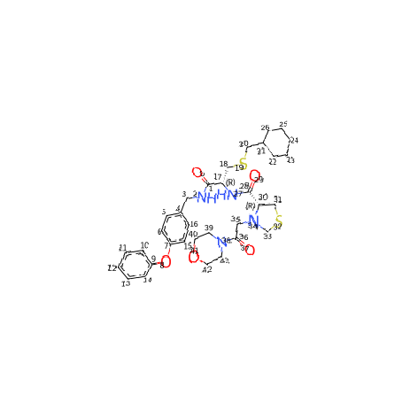 O=C(NCc1ccc(Oc2ccccc2)cc1)[C@H](CSCC1CCCCC1)NC(=O)[C@@H]1CSCN1CC(=O)N1CCOCC1